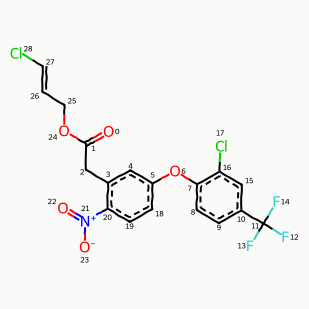 O=C(Cc1cc(Oc2ccc(C(F)(F)F)cc2Cl)ccc1[N+](=O)[O-])OCC=CCl